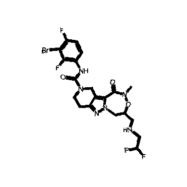 CN1OC(CNCC(F)F)Cn2nc3c(c2C1=O)CN(C(=O)Nc1ccc(F)c(Br)c1F)CC3